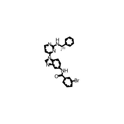 C[C@H](Nc1nccc(-n2cnc3cc(NC(=O)c4cccc(Br)c4)ccc32)n1)c1ccccc1